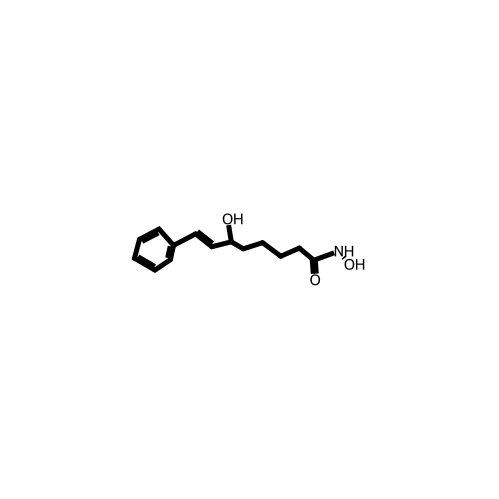 O=C(CCCCC(O)C=Cc1ccccc1)NO